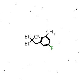 CCC(C#N)(CC)Cc1cc(C)cc(F)c1